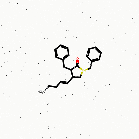 O=C(O)CCC=CC1C[SH](Cc2ccccc2)C(=O)C1Cc1ccccc1